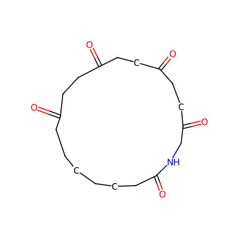 O=C1CCCCCCC(=O)NCC(=O)CCC(=O)CCC(=O)CC1